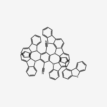 N#Cc1c(-n2c3ccccc3c3ccccc32)c(-n2c3ccccc3c3ccccc32)c(C#N)c(-n2c3cc(-c4cccc5sc6ccccc6c45)ccc3c3ccc4c5ccccc5sc4c32)c1-n1c2ccccc2c2ccccc21